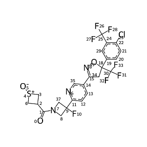 O=C(C1C[S+]([O-])C1)N1CC(F)(c2ccc(C3=NOC(c4ccc(Cl)c(C(F)(F)F)c4)(C(F)(F)F)C3)cn2)C1